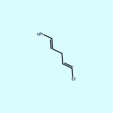 [CH2]CCC=CCC=CCC